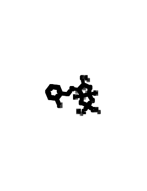 C[C@H]1O[C@@H]2OC(C)(C)O[C@@H]2[C@H]1OCc1ccccc1Cl